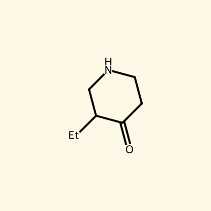 [CH2]CC1CNCCC1=O